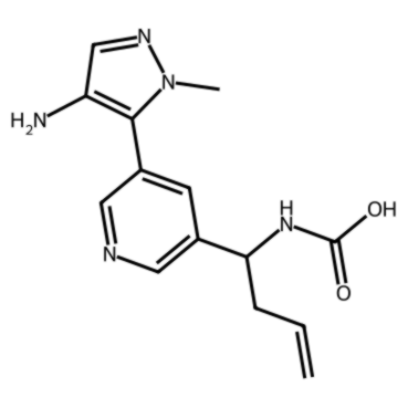 C=CCC(NC(=O)O)c1cncc(-c2c(N)cnn2C)c1